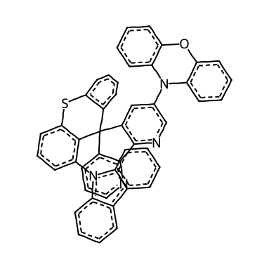 c1ccc2c(c1)Oc1ccccc1N2c1cnc2c(c1)C1(c3ccccc3Sc3cccc(-n4c5ccccc5c5ccccc54)c31)c1cccnc1-2